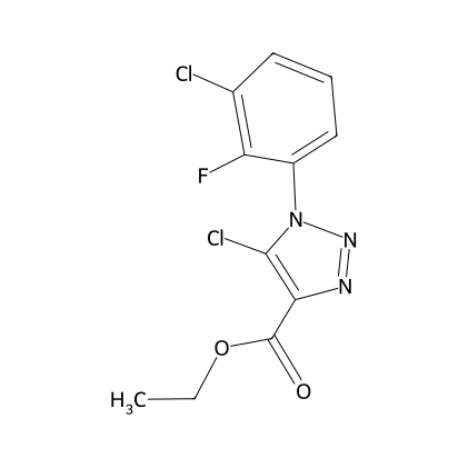 CCOC(=O)c1nnn(-c2cccc(Cl)c2F)c1Cl